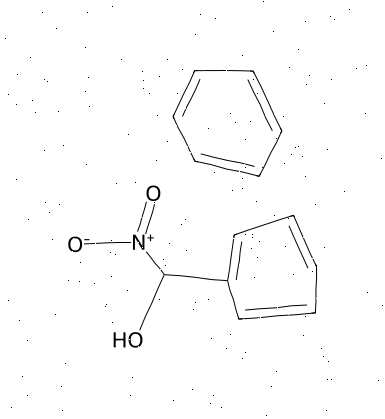 O=[N+]([O-])C(O)c1ccccc1.c1ccccc1